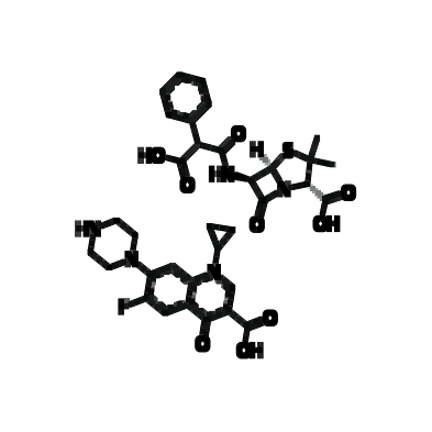 CC1(C)S[C@@H]2[C@H](NC(=O)C(C(=O)O)c3ccccc3)C(=O)N2[C@H]1C(=O)O.O=C(O)c1cn(C2CC2)c2cc(N3CCNCC3)c(F)cc2c1=O